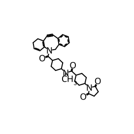 CN(C(=O)C1CCC(N2C(=O)CCC2=O)CC1)C1CCC(C(=O)N2Cc3ccccc3C#CC3=C2C=CCC3)CC1